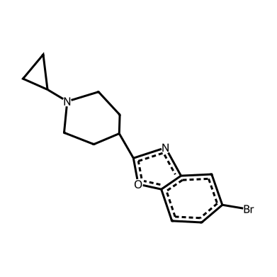 Brc1ccc2oc(C3CCN(C4CC4)CC3)nc2c1